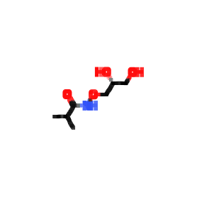 CC(C)C(=O)NOC[C@H](O)CO